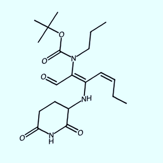 CC/C=C\C(NC1CCC(=O)NC1=O)=C(\C=O)N(CCC)C(=O)OC(C)(C)C